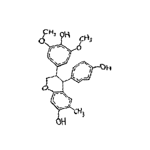 COc1cc(C2COc3cc(O)c(C)cc3C2c2ccc(O)cc2)cc(OC)c1O